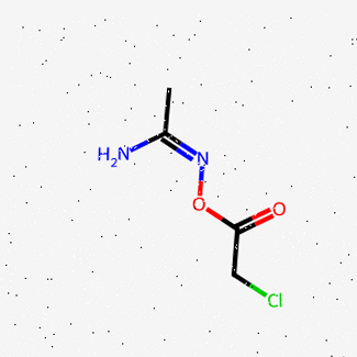 C/C(N)=N/OC(=O)CCl